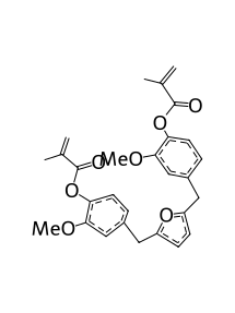 C=C(C)C(=O)Oc1ccc(Cc2ccc(Cc3ccc(OC(=O)C(=C)C)c(OC)c3)o2)cc1OC